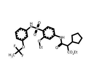 CCOC(=O)C(C(=O)Nc1ccc(S(=O)(=O)Nc2cccc(OC(C)(F)F)c2)c(OCC)c1)C1CCCC1